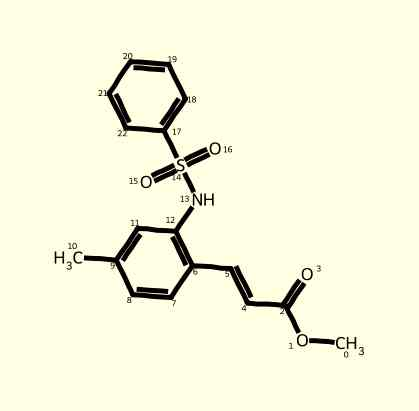 COC(=O)/C=C/c1ccc(C)cc1NS(=O)(=O)c1ccccc1